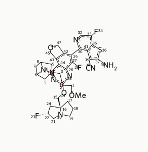 COCCCN1CC2CC(C1)N2c1nc(OC[C@@]23CCCN2C[C@H](F)C3)nc2c(F)c(-c3ncc(F)c4sc(N)c(C#N)c34)c3c(c12)COC3